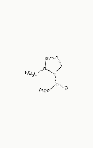 COC(=O)C1CC=NN1C(=O)O